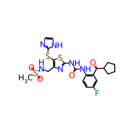 CS(=O)(=O)NCc1nc(NC(=O)Nc2ccc(F)cc2C(=O)C2CCCC2)sc1Sc1ncc[nH]1